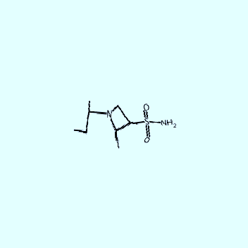 CCC(C)N1CC(S(N)(=O)=O)C1I